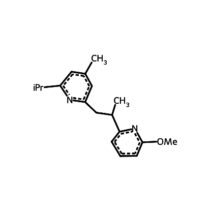 COc1cccc(C(C)Cc2cc(C)cc(C(C)C)n2)n1